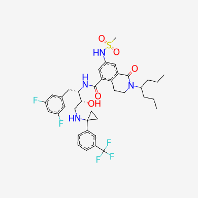 CCCC(CCC)N1CCc2c(C(=O)N[C@@H](Cc3cc(F)cc(F)c3)[C@H](O)CNC3(c4cccc(C(F)(F)F)c4)CC3)cc(NS(C)(=O)=O)cc2C1=O